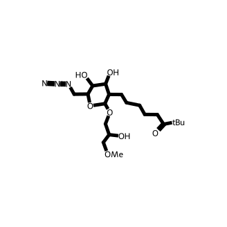 COCC(O)COC1OC(CN=[N+]=[N-])C(O)C(O)C1CCCCCC(=O)C(C)(C)C